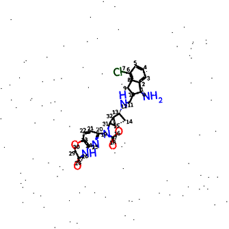 NC1c2cccc(Cl)c2CC1CN[C@@H]1C[C@]23OC(=O)N(c4ccc5c(n4)NC(=O)CO5)C2C13